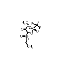 CCO[PH](=O)C(OS(=O)(=O)C(F)(F)F)C(=O)OC